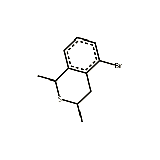 CC1Cc2c(Br)cccc2C(C)S1